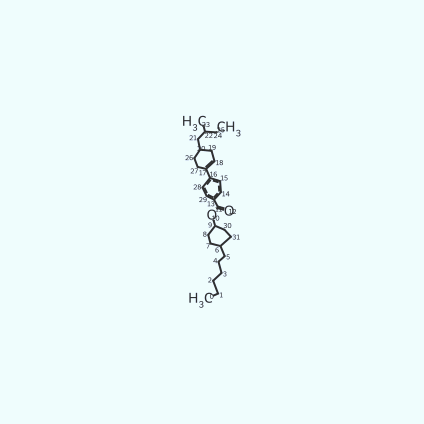 CCCCCCC1CCC(OC(=O)c2ccc(C3=CCC(CC(C)CC)CC3)cc2)CC1